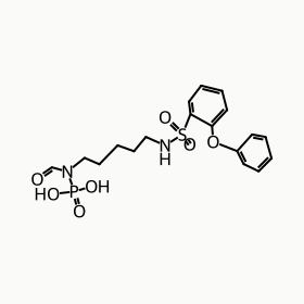 O=CN(CCCCCNS(=O)(=O)c1ccccc1Oc1ccccc1)P(=O)(O)O